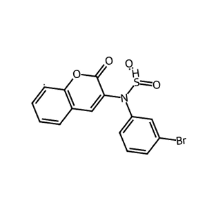 O=c1oc2[c]cccc2cc1N(c1cccc(Br)c1)[SH](=O)=O